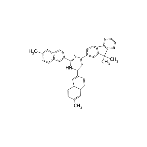 CC1=CC2C=CC(C3C=C(c4ccc5c(c4)C(C)(C)c4ccccc4-5)N=C(c4ccc5cc(C)ccc5c4)N3)=CC2C=C1